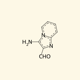 Nc1c(C=O)nc2ccccn12